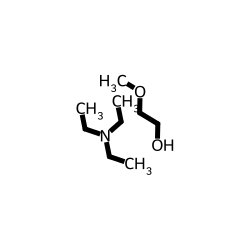 CCN(CC)CC.COCCO